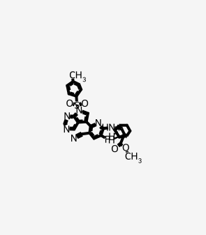 COC(=O)[C@H]1C2CCC(CC2)[C@@H]1Nc1nc(-c2cn(S(=O)(=O)c3ccc(C)cc3)c3ncncc23)c(C#N)cc1F